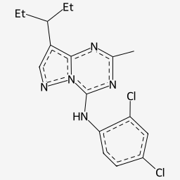 CCC(CC)c1cnn2c(Nc3ccc(Cl)cc3Cl)nc(C)nc12